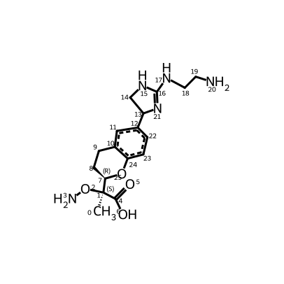 C[C@@](ON)(C(=O)O)[C@H]1CCc2cc(C3CNC(NCCN)=N3)ccc2O1